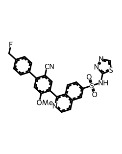 COc1cc(-c2ccc(CF)cc2)c(C#N)cc1-c1nccc2cc(S(=O)(=O)Nc3nncs3)ccc12